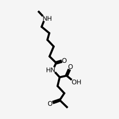 CNCCCCCC(=O)NC(CCC(C)=O)C(=O)O